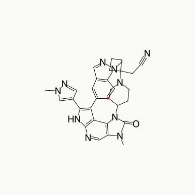 Cn1cc(-c2[nH]c3ncc4c(c3c2-c2ccc3c(cnn3C)c2)n(C2CCN(C3(CC#N)CCC3)CC2)c(=O)n4C)cn1